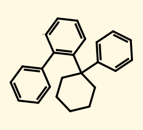 [c]1cccc(C2(c3ccccc3)CCCCC2)c1-c1ccccc1